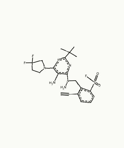 C#Cc1cccc(S(=O)(=O)F)c1CN(N)c1nc(C(C)(C)C)nc(N2CCC(F)(F)C2)c1N